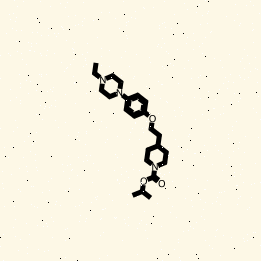 CCN1CCN(c2ccc(OCCC3CCN(C(=O)OC(C)C)CC3)cc2)CC1